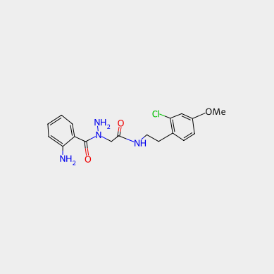 COc1ccc(CCNC(=O)CN(N)C(=O)c2ccccc2N)c(Cl)c1